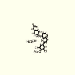 COc1c(Cl)cc(-c2ccc3ncc(C(C)=O)c(N[C@H]4CC[C@H](CN(C)C)CC4)c3n2)cc1Cl.Cl.Cl